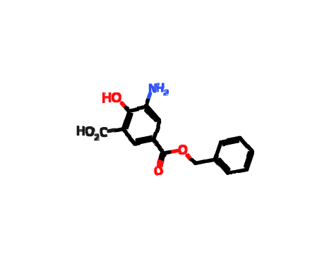 Nc1cc(C(=O)OCc2ccccc2)cc(C(=O)O)c1O